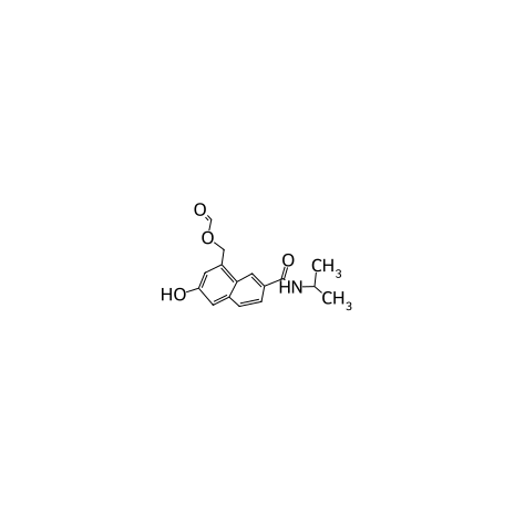 CC(C)NC(=O)c1ccc2cc(O)cc(COC=O)c2c1